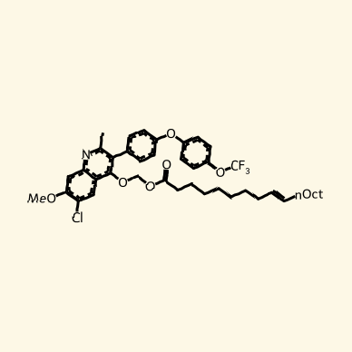 CCCCCCCCC=CCCCCCCCC(=O)OCOc1c(-c2ccc(Oc3ccc(OC(F)(F)F)cc3)cc2)c(C)nc2cc(OC)c(Cl)cc12